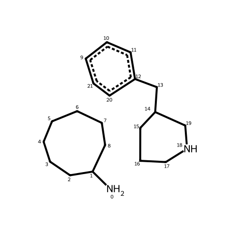 NC1CCCCCCC1.c1ccc(CC2CCCNC2)cc1